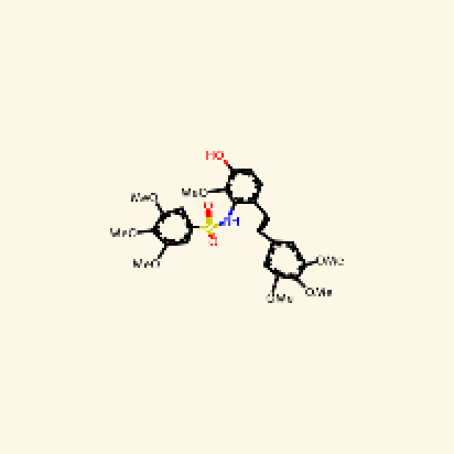 COc1cc(C=Cc2ccc(O)c(OC)c2NS(=O)(=O)c2cc(OC)c(OC)c(OC)c2)cc(OC)c1OC